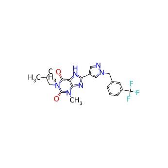 CC(C)Cn1c(=O)c2[nH]c(-c3cnn(Cc4cccc(C(F)(F)F)c4)c3)nc2n(C)c1=O